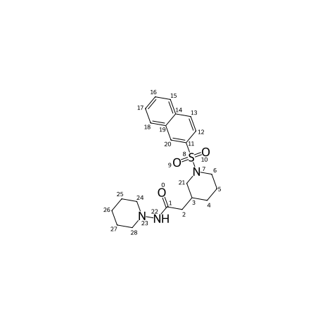 O=C(CC1CCCN(S(=O)(=O)c2ccc3ccccc3c2)C1)NN1CCCCC1